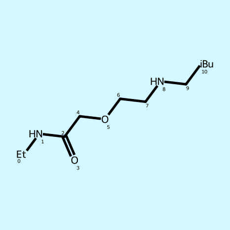 CCNC(=O)COCCNCC(C)CC